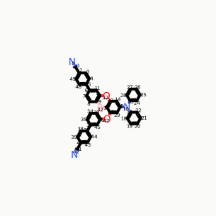 N#Cc1ccc(-c2ccc3c(c2)Oc2cc(N(c4ccccc4)c4ccccc4)cc4c2B3c2ccc(-c3ccc(C#N)cc3)cc2O4)cc1